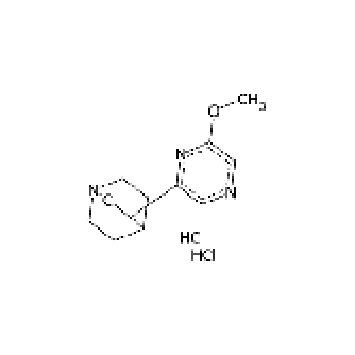 COc1cncc(C2CN3CCC2CC3)n1.Cl.Cl